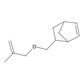 C=C(C)COCC1CC2C=CC1C2